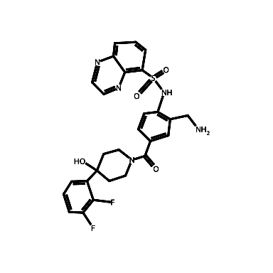 NCc1cc(C(=O)N2CCC(O)(c3cccc(F)c3F)CC2)ccc1NS(=O)(=O)c1cccc2nccnc12